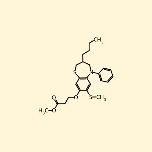 CCCCC1CSc2cc(OCCC(=O)OC)c(SC)cc2N(c2ccccc2)C1